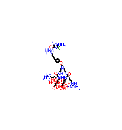 N=C(N)NCCCC[C@H](NC[C@H](O)[C@@H](O)[C@H](O)[C@H](O)CO)C(=O)NCCCN(CCCNC(=O)[C@H](CCCCNC(=N)N)NC[C@H](O)[C@@H](O)[C@H](O)[C@H](O)CO)CCOc1ccc(CCCCNC(=N)NC(=O)c2nc(Cl)c(N)nc2N)cc1